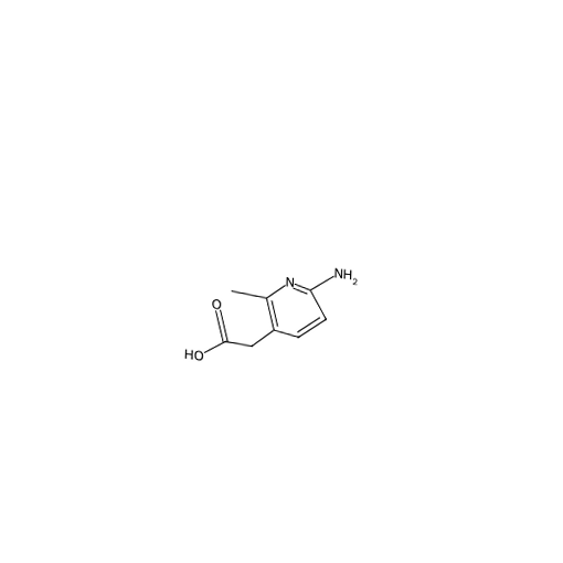 Cc1nc(N)ccc1CC(=O)O